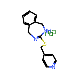 Cl.Cl.c1ccc2c(c1)CN=C(SCc1ccncc1)NC2